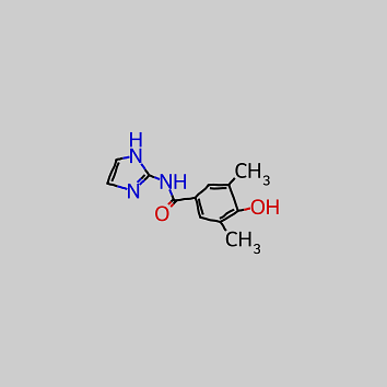 Cc1cc(C(=O)Nc2ncc[nH]2)cc(C)c1O